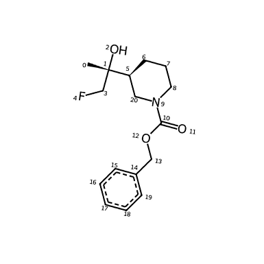 C[C@](O)(CF)[C@H]1CCCN(C(=O)OCc2ccccc2)C1